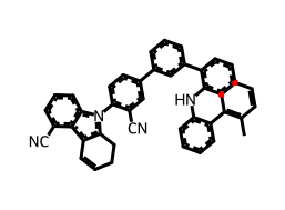 CC1=C(c2ccccc2Nc2ccccc2-c2cccc(-c3ccc(-n4c5c(c6c(C#N)cccc64)C=CCC5)c(C#N)c3)c2)CCC=C1